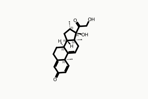 C[C@H]1C[C@H]2[C@@H]3CCC4=CC(=O)C=C[C@]4(C)C3=CC[C@]2(C)[C@@]1(O)C(=O)CO